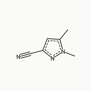 Cc1cc(C#N)nn1C